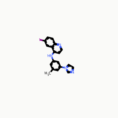 Cc1cc(Nc2ccnc3ccc(I)cc23)cc(-n2ccnc2)c1